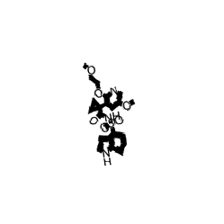 COCCOc1ncc(OC)cc1C1(C(=O)NS(=O)(=O)c2cccc3[nH]ccc23)CC1